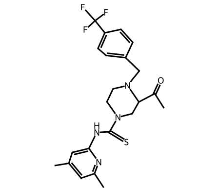 CC(=O)C1CN(C(=S)Nc2cc(C)cc(C)n2)CCN1Cc1ccc(C(F)(F)F)cc1